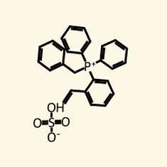 C=Cc1ccccc1[P+](Cc1ccccc1)(c1ccccc1)c1ccccc1.O=S(=O)([O-])O